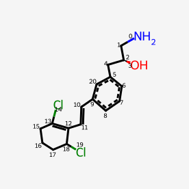 NC[C@@H](O)Cc1cccc(/C=C/C2=C(Cl)CCCC2Cl)c1